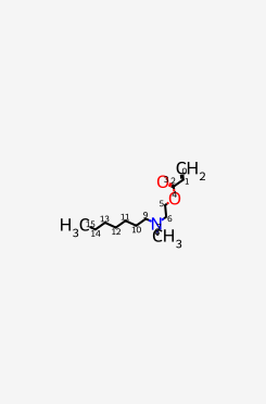 C=CC(=O)OCCN(C)CCCCCCC